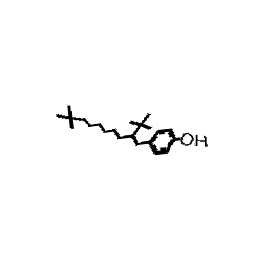 CC(C)(C)CCCCCCC(Cc1ccc(O)cc1)C(C)(C)C